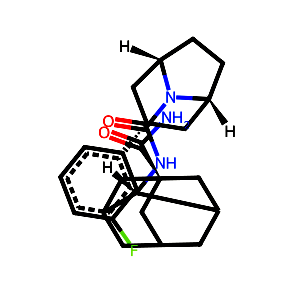 NC(=O)[C@]12CC3CC(C1)[C@@H](NC(=O)N1[C@@H]4CC[C@H]1C[C@@H](c1cccc(F)c1)C4)C(C3)C2